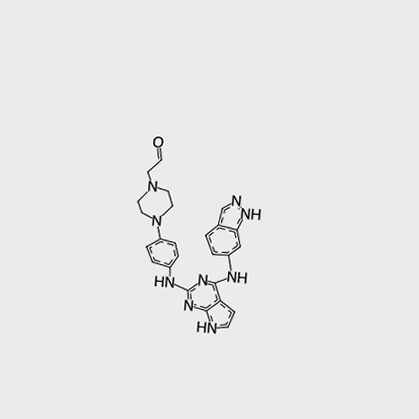 O=CCN1CCN(c2ccc(Nc3nc(Nc4ccc5cn[nH]c5c4)c4cc[nH]c4n3)cc2)CC1